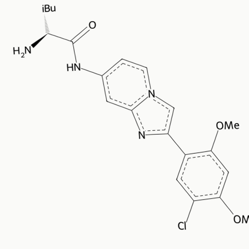 CC[C@@H](C)[C@H](N)C(=O)Nc1ccn2cc(-c3cc(Cl)c(OC)cc3OC)nc2c1